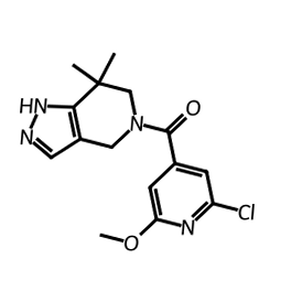 COc1cc(C(=O)N2Cc3cn[nH]c3C(C)(C)C2)cc(Cl)n1